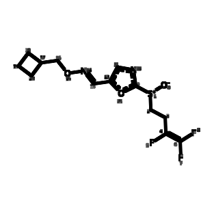 [O-][S+](CCC(F)=C(F)F)c1ncc(C=NOCC2CCC2)o1